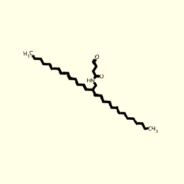 CCCCCCCCCCCCCCC(CCCCCCCCCCCCCC)CNC(=O)CCC=O